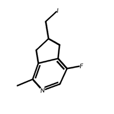 Cc1ncc(F)c2c1CC(CI)C2